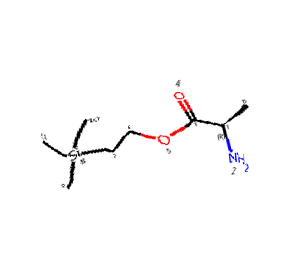 C[C@@H](N)C(=O)OCC[Si](C)(C)C